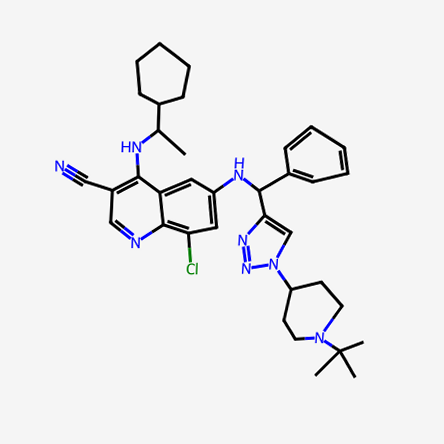 CC(Nc1c(C#N)cnc2c(Cl)cc(NC(c3ccccc3)c3cn(C4CCN(C(C)(C)C)CC4)nn3)cc12)C1CCCCC1